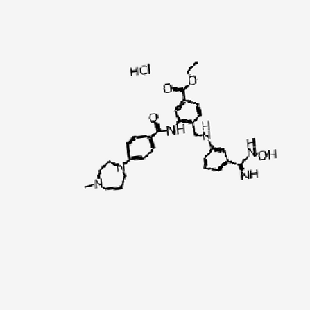 CCOC(=O)c1ccc(CNc2cccc(C(=N)NO)c2)c(NC(=O)c2ccc(N3CCCN(C)CC3)cc2)c1.Cl